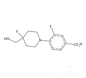 O=C(O)c1ccc(N2CCC(F)(CO)CC2)c(F)c1